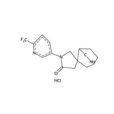 Cl.O=C1CC2(CC3CCC2CN3)CN1c1ccc(C(F)(F)F)nc1